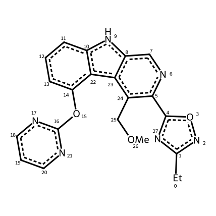 CCc1noc(-c2ncc3[nH]c4cccc(Oc5ncccn5)c4c3c2COC)n1